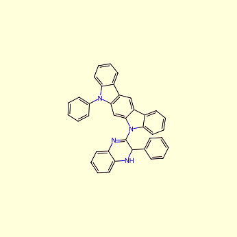 c1ccc(C2Nc3ccccc3N=C2n2c3ccccc3c3cc4c5ccccc5n(-c5ccccc5)c4cc32)cc1